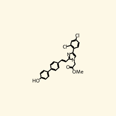 COC(=O)Cn1cc(-c2ccc(Cl)cc2Cl)nc1C=Cc1ccc(-c2ccc(O)cc2)cc1